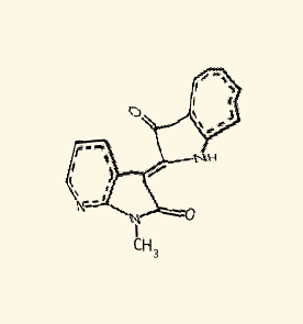 CN1C(=O)/C(=C2\Nc3ccccc3C2=O)c2cccnc21